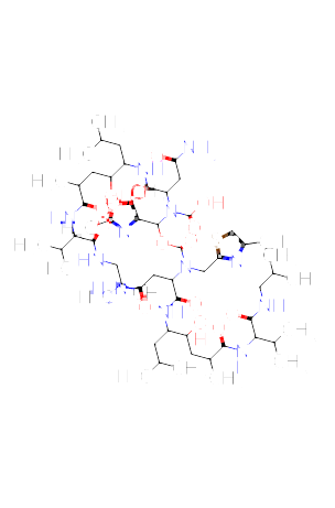 Cc1csc(CN(C(=O)OC(c2nc(C)oc2C)N(C(=O)O)C(CC(N)=O)C(=O)NC(CC(C)C)C(O)CC(C)C(=O)NC(C(=O)NCC(C)C)C(C)C)C(CC(N)=O)C(=O)NC(CC(C)C)C(O)CC(C)C(=O)NC(C(=O)NCC(C)C)C(C)C)n1